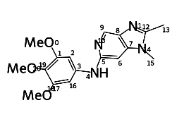 COc1cc(Nc2cc3c(cn2)nc(C)n3C)cc(OC)c1OC